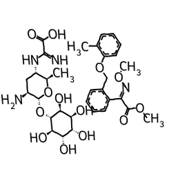 CO/N=C(/C(=O)OC)c1ccccc1COc1ccccc1C.C[C@H]1O[C@H](O[C@H]2[C@H](O)[C@@H](O)[C@@H](O)[C@H](O)[C@@H]2O)[C@@H](N)C[C@@H]1NC(=N)C(=O)O